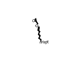 CCCCCCCCCCCCC=COCC1CO1